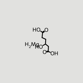 O=C(O)CCC(O)CC(=O)O.[MgH2]